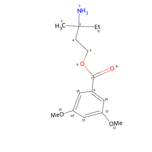 CCC(C)(N)CCOC(=O)c1cc(OC)cc(OC)c1